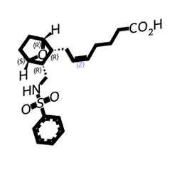 O=C(O)CCC/C=C\C[C@@H]1[C@H](CNS(=O)(=O)c2ccccc2)[C@@H]2CC[C@H]1O2